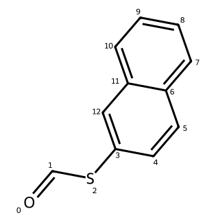 O=CSc1ccc2ccccc2c1